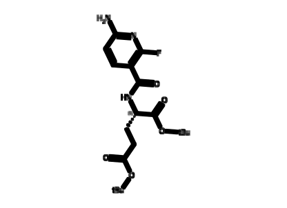 CC(C)(C)OC(=O)CC[C@H](NC(=O)c1ccc(N)nc1F)C(=O)OC(C)(C)C